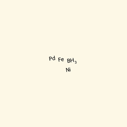 B.[Fe].[Ni].[Pd]